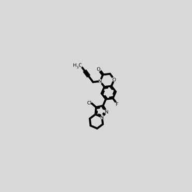 CC#CCN1C(=O)COc2cc(F)c(-c3nn4c(c3Cl)CCCC4)cc21